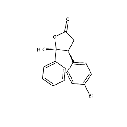 C[C@@]1(c2ccccc2)OC(=O)C[C@H]1c1ccc(Br)cc1